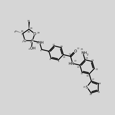 C[C@H]1O[P](O)(NCc2ccc(C(=O)Nc3cc(-c4cccs4)ccc3N)cc2)O[C@@H]1C